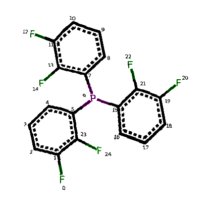 Fc1cccc(P(c2cccc(F)c2F)c2cccc(F)c2F)c1F